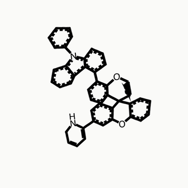 C1=CCNC(c2ccc3c(c2)Oc2ccccc2C32c3ccccc3Oc3c(-c4cccc5c4c4ccccc4n5-c4ccccc4)cccc32)=C1